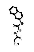 N#CCC(=O)NNC(=S)Nc1ccc2ccccc2c1